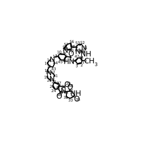 Cc1ccc(NC(=O)c2ccc(CN3CCC(CN4CCN(c5ccc6c(c5)C(=O)N(C5CCC(=O)NC5=O)C6=O)CC4)CC3)cc2)cc1Nc1nccc(-c2cccnc2)n1